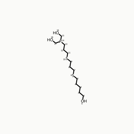 OCCCCCSCCCSCCCP(CO)CO